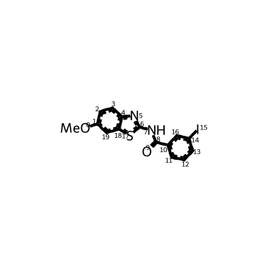 COc1ccc2nc(NC(=O)c3cccc(I)c3)sc2c1